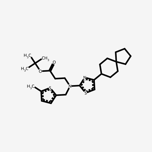 Cc1ccc(CN(CCC(=O)OC(C)(C)C)c2nc(C3CCC4(CCCC4)CC3)cs2)s1